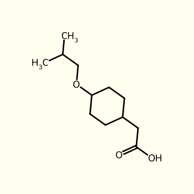 CC(C)COC1CCC(CC(=O)O)CC1